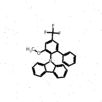 COc1cc(C(F)(F)F)cc(-c2ccccc2)c1-n1c2ccccc2c2ccccc21